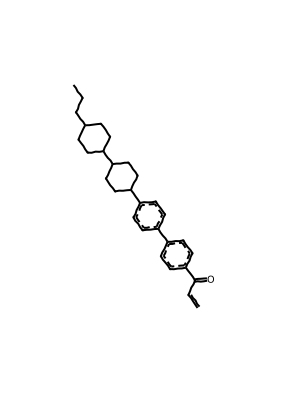 C=CC(=O)c1ccc(-c2ccc(C3CCC(C4CCC(CCC)CC4)CC3)cc2)cc1